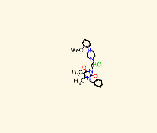 COc1ccccc1N1CCN(CCCn2c(=O)c(C)c(C)n(Cc3ccccc3)c2=O)CC1.Cl